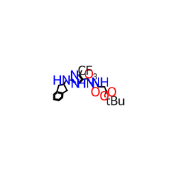 CC(C)(C)OC(=O)CC(=O)NNC(=O)c1cnc(NC2Cc3ccccc3C2)nc1C(F)(F)F